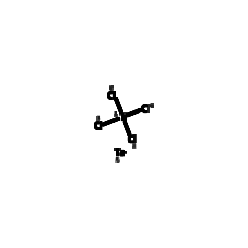 [Cl][Ti]([Cl])([Cl])[Cl].[Ta]